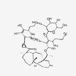 C=C1CC[C@@H]2[C@]([C@@H](C)OC(O)/C(O)=C(/OC3OC(CO)C(O)C(O)C3O)C(O)CCO)(CCC3[C@](C)(C(=O)OC(O)/C(O)=C(/O)C(O)CCO)CCC[C@]32C)C1